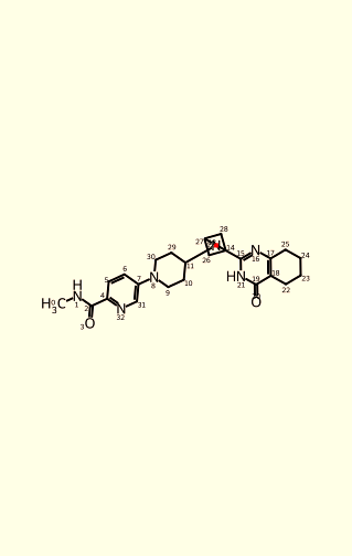 CNC(=O)c1ccc(N2CCC(N3CC4(c5nc6c(c(=O)[nH]5)CCCC6)CC3C4)CC2)cn1